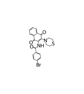 O=C(NC1=C(N2CCSCC2)C(=O)c2ccccc2C1=O)c1ccc(Br)cc1